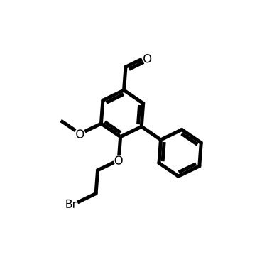 COc1cc(C=O)cc(-c2ccccc2)c1OCCBr